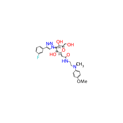 COc1ccc(N(C)CCNC(=O)C[C@@H]2O[C@H](CO)[C@H](O)[C@H](n3cc(-c4cccc(F)c4)nn3)[C@H]2O)cc1